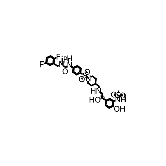 CC(C)N(Cc1cc(F)ccc1F)C(=O)Nc1ccc(S(=O)(=O)N2CCC(CNC[C@H](O)c3ccc(O)c(NS(C)(=O)=O)c3)CC2)cc1